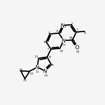 Cc1cnc2ccc(-c3cnn(C4CC4)c3)cn2c1=O